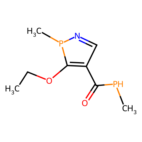 CCOc1c(C(=O)PC)cnp1C